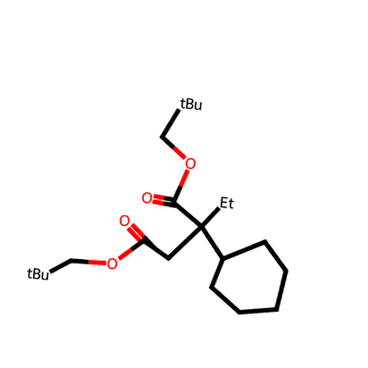 CCC(CC(=O)OCC(C)(C)C)(C(=O)OCC(C)(C)C)C1CCCCC1